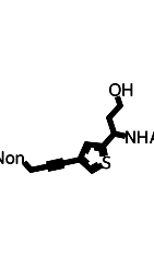 CCCCCCCCCCC#Cc1csc(C(CCO)NC(C)=O)c1